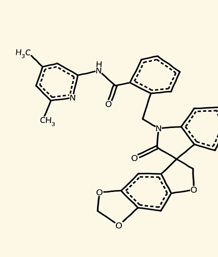 Cc1cc(C)nc(NC(=O)c2ccccc2CN2C(=O)C3(COc4cc5c(cc43)OCO5)c3ccccc32)c1